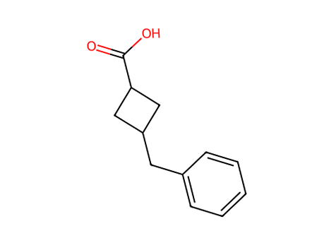 O=C(O)C1CC(Cc2ccccc2)C1